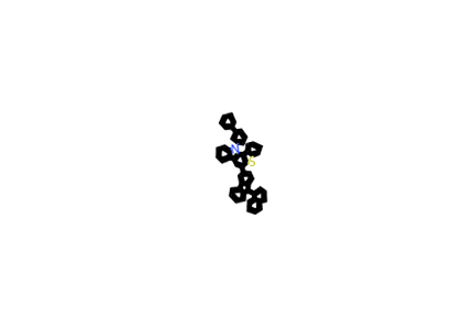 c1ccc(-c2cccc(-n3c4ccccc4c4cc(-c5ccc6c(c5)-c5ccccc5C6c5cccc6ccccc56)c5sc6ccccc6c5c43)c2)cc1